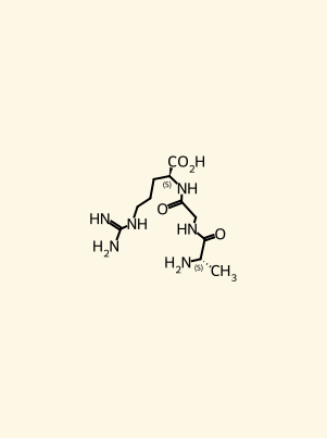 C[C@H](N)C(=O)NCC(=O)N[C@@H](CCCNC(=N)N)C(=O)O